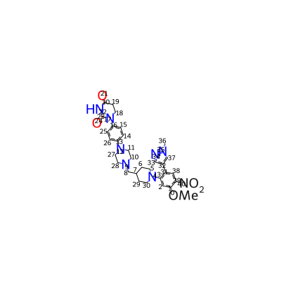 COc1cc(N2CCC(CN3CCN(c4ccc(N5CCC(=O)NC5=O)cc4)CC3)CC2)c(-c2cnn(C)c2)cc1[N+](=O)[O-]